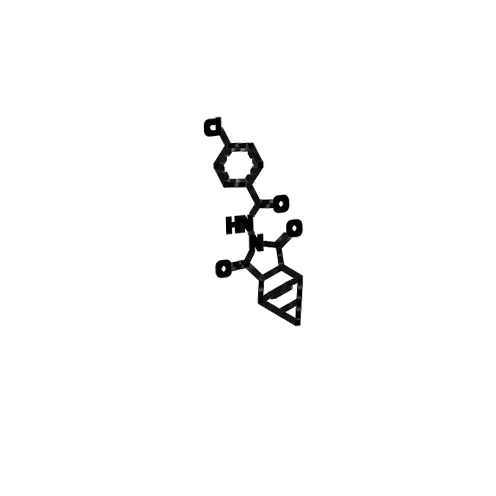 O=C(NN1C(=O)C2C3C=CC(C4CC34)C2C1=O)c1ccc(Cl)cc1